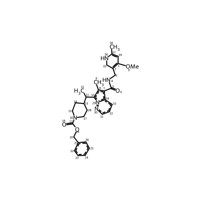 COC1=C(CNC(=O)c2c(C)c(C(C)C3CCN(C(=O)OCc4ccccc4)CC3)n3ncccc23)CNC(C)=C1